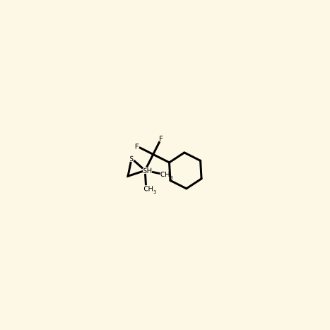 C[SH]1(C)(C(F)(F)C2CCCCC2)CS1